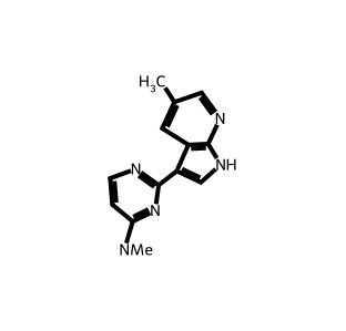 CNc1ccnc(-c2c[nH]c3ncc(C)cc23)n1